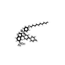 CCCCCCCCCCOc1ccc(S(=O)(=O)c2cnc3ccc([SiH](C)O)cc3c2N2CCC(N3CCN(C)CC3)CC2)cc1